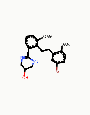 COc1ccc(Br)cc1CCc1c(OC)cccc1C1=NCC(O)CN1